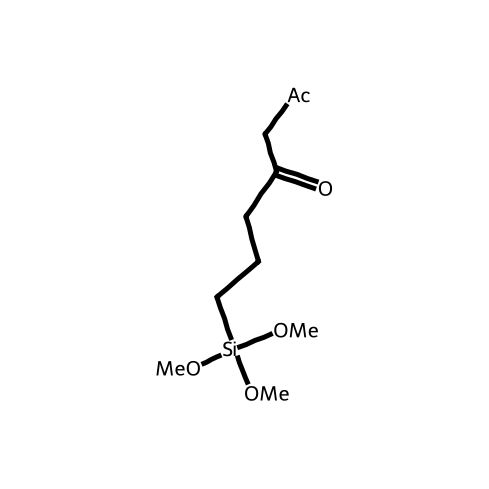 CO[Si](CCCC(=O)CC(C)=O)(OC)OC